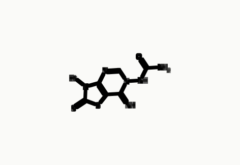 CCn1c(=S)sc2c(=N)n(NC(N)=O)cnc21